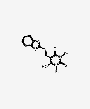 CCn1c(O)c(/C=N/c2nc3ccccc3[nH]2)c(=O)n(CC)c1=S